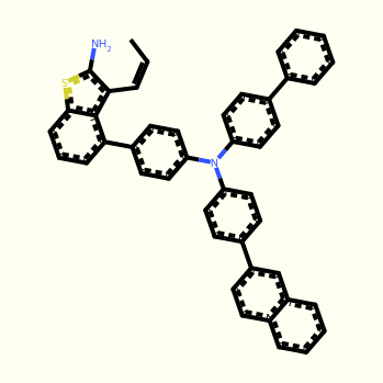 C/C=C\c1c(N)sc2cccc(-c3ccc(N(c4ccc(-c5ccccc5)cc4)c4ccc(-c5ccc6ccccc6c5)cc4)cc3)c12